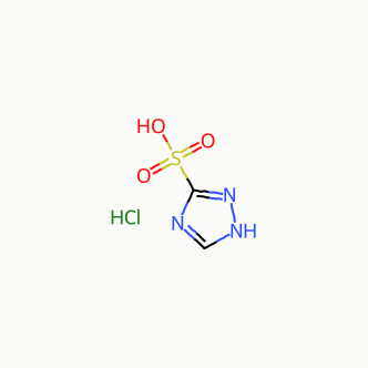 Cl.O=S(=O)(O)c1nc[nH]n1